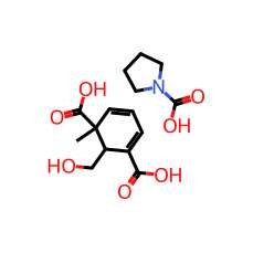 CC1(C(=O)O)C=CC=C(C(=O)O)C1CO.O=C(O)N1CCCC1